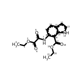 CCOC(=O)C(=O)Nc1ccc2cc[nH]c2c1C(=O)OCC